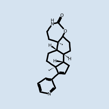 C[C@]12CCNC(=O)OC1CC[C@@H]1[C@@H]2CC[C@]2(C)C(c3cccnc3)=CC[C@@H]12